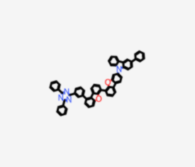 c1ccc(-c2ccc3c(c2)c2ccccc2n3-c2ccc3c(c2)oc2c(-c4cccc5c4oc4cccc(-c6cccc(-c7nc(-c8ccccc8)nc(-c8ccccc8)n7)c6)c45)cccc23)cc1